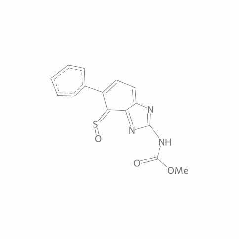 COC(=O)NC1=NC2=CC=C(c3ccccc3)C(=S=O)C2=N1